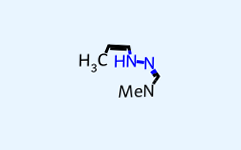 C/C=C\N/N=C\NC